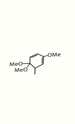 COC1=CC(C)C(OC)(OC)C=C1